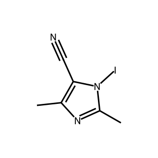 Cc1nc(C)n(I)c1C#N